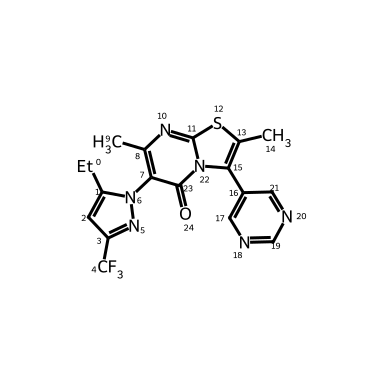 CCc1cc(C(F)(F)F)nn1-c1c(C)nc2sc(C)c(-c3cncnc3)n2c1=O